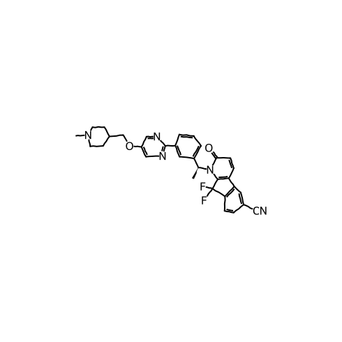 C[C@@H](c1cccc(-c2ncc(OCC3CCN(C)CC3)cn2)c1)n1c2c(ccc1=O)-c1cc(C#N)ccc1C2(F)F